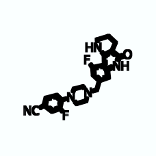 N#Cc1ccc(N2CCN(Cc3cc(F)c4c5c(c(=O)[nH]c4c3)CCCN5)CC2)c(F)c1